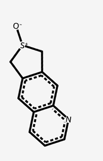 [O-][S+]1Cc2cc3cccnc3cc2C1